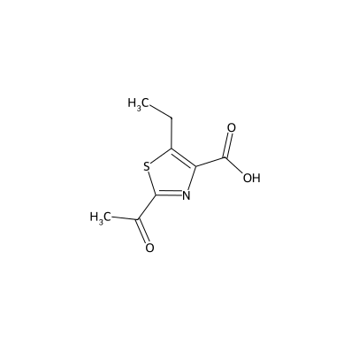 CCc1sc(C(C)=O)nc1C(=O)O